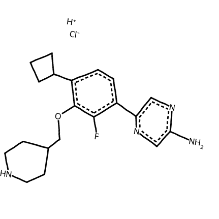 Nc1cnc(-c2ccc(C3CCC3)c(OCC3CCNCC3)c2F)cn1.[Cl-].[H+]